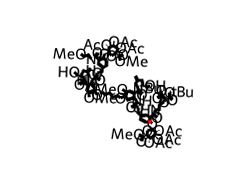 C=C1C[C@@H](CO)N(C(=O)c2cc(OC)c(OCCCCCOc3cc(NC(=O)OCc4ccc(O[C@@H]5O[C@H](C(=O)OC)[C@@H](OC(C)=O)[C@H](OC(C)=O)[C@H]5OC(C)=O)c(C(=O)NCCON(C(=O)OC(C)(C)C)C(=O)OC(C)(C)C)c4)c(C(=O)N4CC(=C)C[C@H]4CO)cc3OC)cc2NC(=O)OCc2ccc(O[C@@H]3O[C@H](C(=O)OC)[C@@H](OC(C)=O)[C@H](OC(C)=O)[C@H]3OC(C)=O)c(C(=O)NCCOC)c2)C1